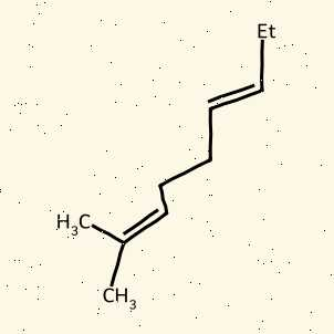 [CH2]CC=CCCC=C(C)C